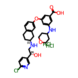 Cl.Cl.O=C(O)c1cc(NC2CCOCC2)cc(Oc2ccc3c(c2)C[C@@H](NC[C@H](O)c2ccc(Cl)nc2)CC3)c1